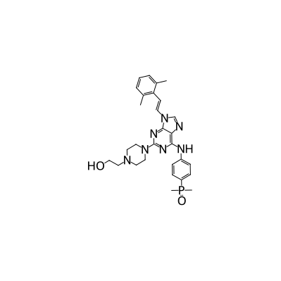 Cc1cccc(C)c1C=Cn1cnc2c(Nc3ccc(P(C)(C)=O)cc3)nc(N3CCN(CCO)CC3)nc21